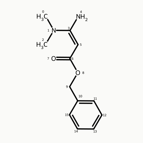 CN(C)C(N)=CC(=O)OCc1ccccc1